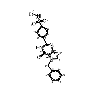 CCNS(=O)(=O)c1ccc(-c2nc3ncn(Cc4ccccc4)c3c(=O)[nH]2)cc1